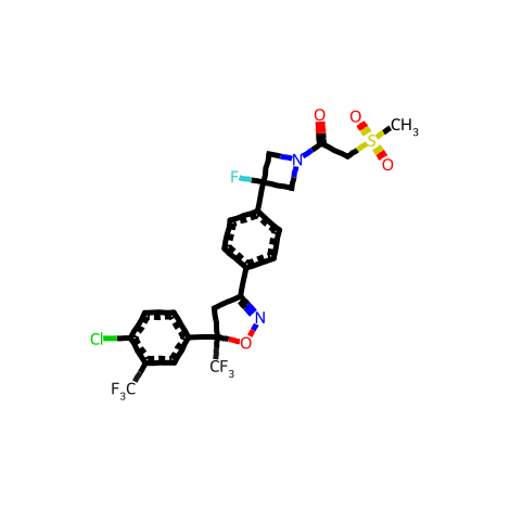 CS(=O)(=O)CC(=O)N1CC(F)(c2ccc(C3=NOC(c4ccc(Cl)c(C(F)(F)F)c4)(C(F)(F)F)C3)cc2)C1